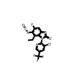 CCc1c(N=C=O)c(F)cc2sc(=O)n(-c3ncc(C(F)(F)F)cc3Cl)c12